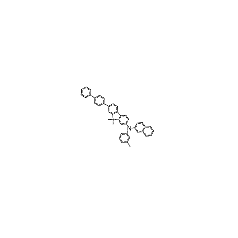 Cc1cccc(N(c2ccc3c(c2)C(C)(C)c2cc(-c4ccc(-c5ccccc5)cc4)ccc2-3)c2ccc3ccccc3c2)c1